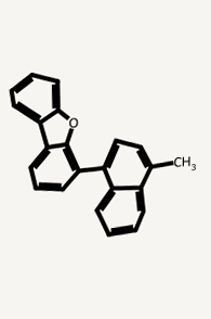 Cc1ccc(-c2cccc3c2oc2ccccc23)c2ccccc12